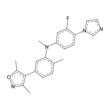 Cc1ccc(-c2c(C)noc2C)cc1N(C)c1ccc(-n2ccnc2)c(F)c1